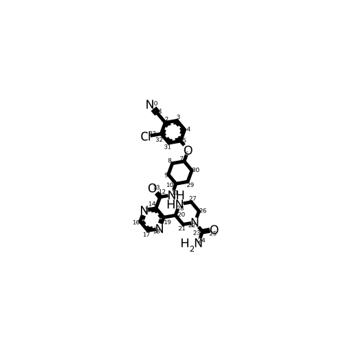 N#Cc1ccc(OC2CCC(NC(=O)c3nccnc3C3CN(C(N)=O)CCN3)CC2)cc1Cl